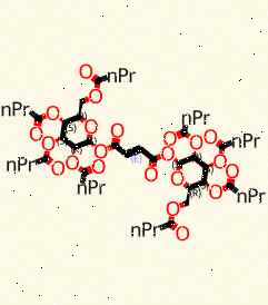 CCCC(=O)OC[C@H]1O[C@@H](OC(=O)/C=C/C(=O)O[C@@H]2O[C@H](COC(=O)CCC)[C@H](OC(=O)CCC)[C@H](OC(=O)CCC)[C@H]2OC(=O)CCC)[C@H](OC(=O)CCC)[C@@H](OC(=O)CCC)[C@H]1OC(=O)CCC